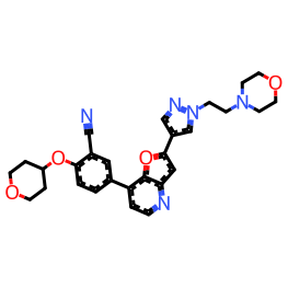 N#Cc1cc(-c2ccnc3cc(-c4cnn(CCN5CCOCC5)c4)oc23)ccc1OC1CCOCC1